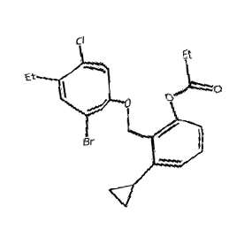 CCC(=O)Oc1cccc(C2CC2)c1COc1cc(Cl)c(CC)cc1Br